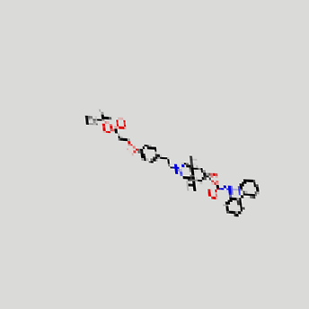 CCC(C)(C)OC(=O)CCOc1ccc(CCN2C[C@H]3C[C@H](OC(=O)Nc4ccccc4-c4ccccc4)C[C@H]3C2)cc1